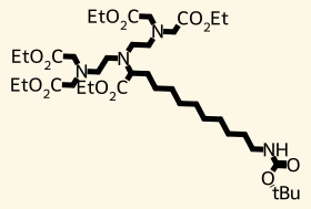 CCOC(=O)CN(CCN(CCN(CC(=O)OCC)CC(=O)OCC)C(CCCCCCCCCCNC(=O)OC(C)(C)C)C(=O)OCC)CC(=O)OCC